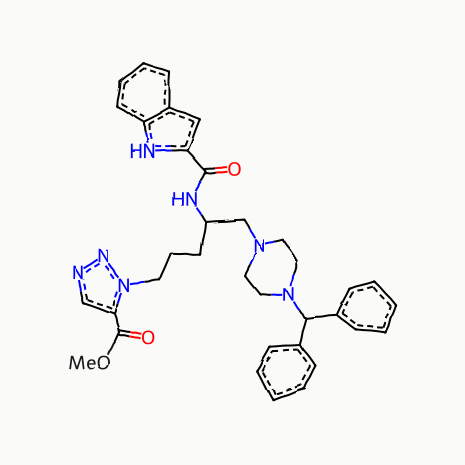 COC(=O)c1cnnn1CCCC(CN1CCN(C(c2ccccc2)c2ccccc2)CC1)NC(=O)c1cc2ccccc2[nH]1